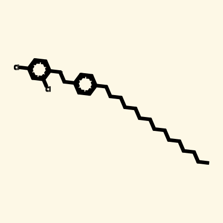 CCCCCCCCCCCCCCCc1ccc(C[CH]c2ccc(Cl)cc2Cl)cc1